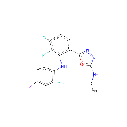 CC(C)(C)CNc1nnc(-c2ccc(F)c(F)c2Nc2ccc(I)cc2F)o1